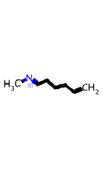 C=CCCC/C=N/C